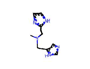 CN(Cc1cnc[nH]1)Cc1ncc[nH]1